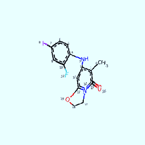 Cc1c(Nc2ccc(I)cc2F)[c]c2n(c1=O)CCO2